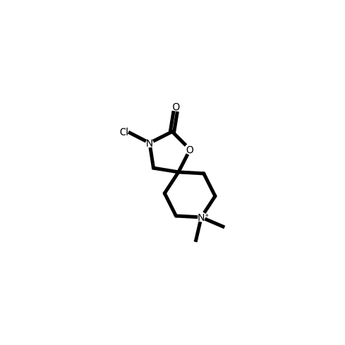 C[N+]1(C)CCC2(CC1)CN(Cl)C(=O)O2